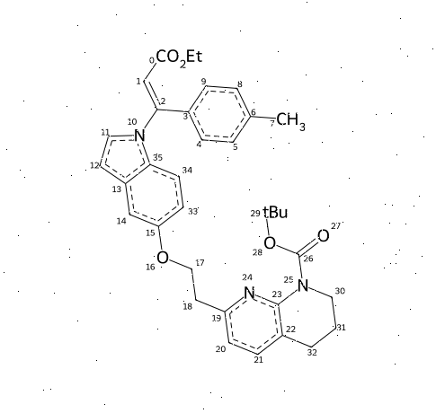 CCOC(=O)C=C(c1ccc(C)cc1)n1ccc2cc(OCCc3ccc4c(n3)N(C(=O)OC(C)(C)C)CCC4)ccc21